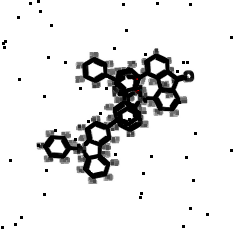 O=C1c2cccc(-c3nc(-c4ccccc4)nc(-c4ccccc4)n3)c2-c2c1cccc2-n1c2ccccc2c2cc(-c3ccc4c(c3)c3ccccc3n4-c3ccccc3)ccc21